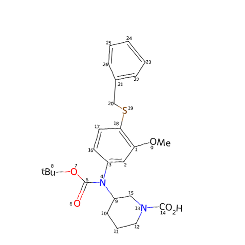 COc1cc(N(C(=O)OC(C)(C)C)C2CCCN(C(=O)O)C2)ccc1SCc1ccccc1